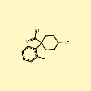 CCC(=O)C1(c2ccccc2C)CCN(CC)CC1